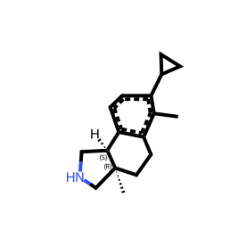 Cc1c(C2CC2)ccc2c1CC[C@@]1(C)CNC[C@@H]21